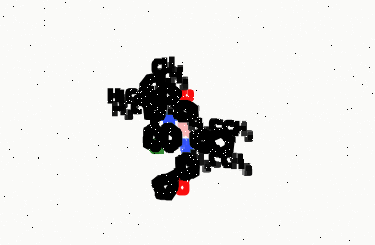 CC(C)(C)c1ccc(N2c3cc(Cl)cc4c3B(c3cc5c(cc3N4c3ccc4oc6ccccc6c4c3)C(C)(C)CCC5(C)C)c3ccc4oc5cc6c(cc5c4c32)C(C)(C)CCC6(C)C)c(-c2ccccc2)c1